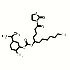 CCCCCCCC(CCCC(=O)N1CCSC1=S)OC(=O)OC1CC(C(C)C)CCC1C